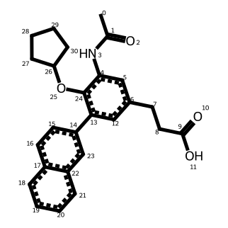 CC(=O)Nc1cc(CCC(=O)O)cc(-c2ccc3ccccc3c2)c1OC1CCCC1